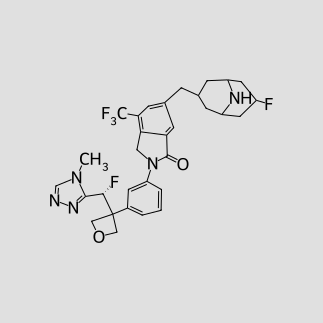 Cn1cnnc1[C@H](F)C1(c2cccc(N3Cc4c(cc(CC5CC6CC(F)CC(C5)N6)cc4C(F)(F)F)C3=O)c2)COC1